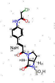 O=C(CCl)Nc1ccc(/C=C/C(=O)N2CC[C@@H]3[C@H]2C(=O)N3S(=O)(=O)O)cc1.[NaH]